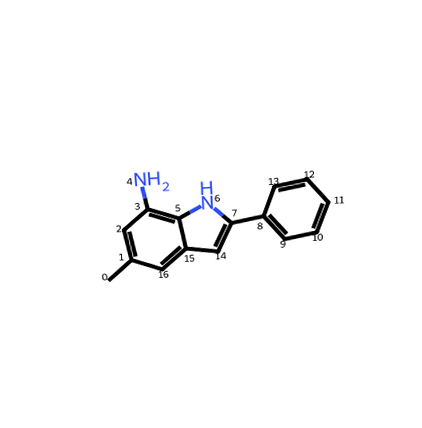 Cc1cc(N)c2[nH]c(-c3ccccc3)cc2c1